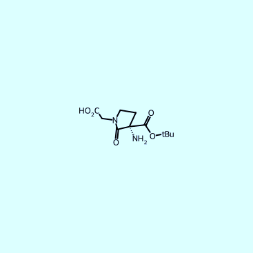 CC(C)(C)OC(=O)[C@]1(N)CCN(CC(=O)O)C1=O